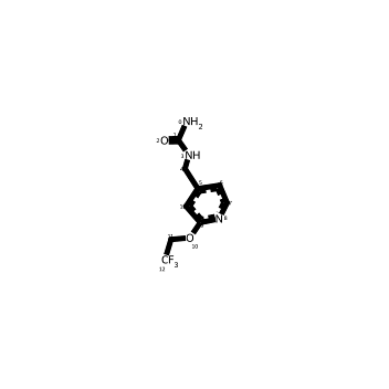 NC(=O)NCc1ccnc(OCC(F)(F)F)c1